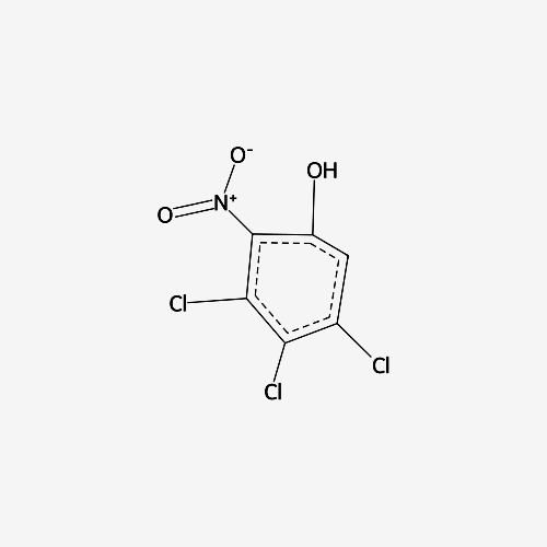 O=[N+]([O-])c1c(O)cc(Cl)c(Cl)c1Cl